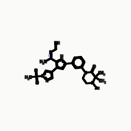 CC(=O)N1CCN(c2cccc(-c3cc(-c4cnn(S(C)(=O)=O)c4)c(/C(N)=N\C=N)[nH]3)c2)C(=O)C1(C)C